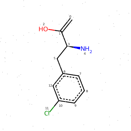 C=C(O)[C@@H](N)Cc1cccc(Cl)c1